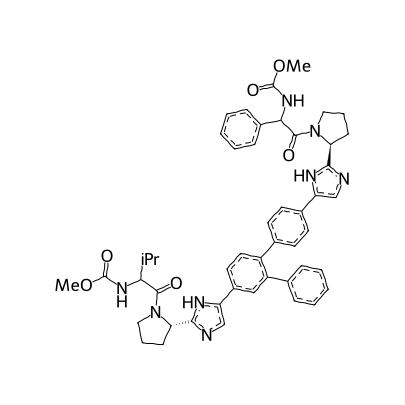 COC(=O)NC(C(=O)N1CCC[C@H]1c1ncc(-c2ccc(-c3ccc(-c4cnc([C@@H]5CCCN5C(=O)C(NC(=O)OC)C(C)C)[nH]4)cc3-c3ccccc3)cc2)[nH]1)c1ccccc1